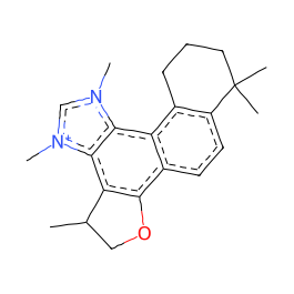 CC1COc2c1c1c(c3c4c(ccc23)C(C)(C)CCC4)n(C)c[n+]1C